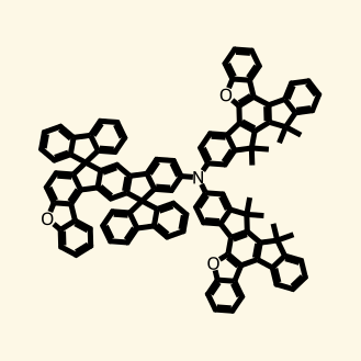 CC1(C)c2cc(N(c3ccc4c(c3)C(C)(C)c3c5c(c6c(oc7ccccc76)c3-4)-c3ccccc3C5(C)C)c3ccc4c(c3)C3(c5ccccc5-c5ccccc53)c3cc5c(cc3-4)C3(c4ccccc4-c4ccccc43)c3ccc4oc6ccccc6c4c3-5)ccc2-c2c1c1c(c3c2oc2ccccc23)-c2ccccc2C1(C)C